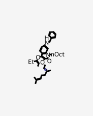 CC=C(CC)Oc1c(OC/C=C(\C)CCC=C(C)C)c(=O)n(CCCCCCCC)c2cc(NCc3ccccc3)ccc12